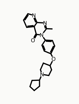 Cc1nc2ncccc2c(=O)n1-c1ccc(OC2CCN(C3CCCC3)CC2)cc1